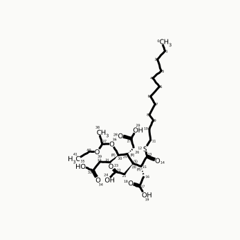 CCCCCCCCCCCCSC(=O)[C@H](CC(=O)O)[C@@H](CC(=O)O)[C@@H](CC(=O)O)[C@@H](CCC(=O)O)OC(C)OCC